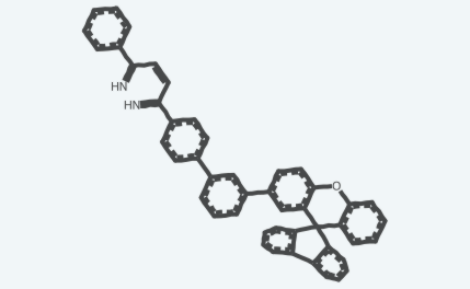 N=C(/C=C\C(=N)c1ccc(-c2cccc(-c3ccc4c(c3)C3(c5ccccc5O4)c4ccccc4-c4ccccc43)c2)cc1)c1ccccc1